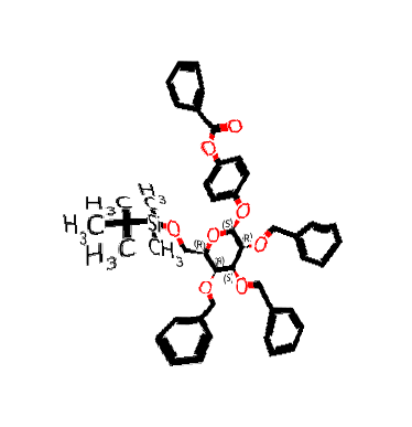 CC(C)(C)[Si](C)(C)OC[C@H]1O[C@@H](Oc2ccc(OC(=O)c3ccccc3)cc2)[C@H](OCc2ccccc2)[C@@H](OCc2ccccc2)[C@@H]1OCc1ccccc1